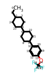 CCC1CCC(C2CCC(c3ccc(OC(F)(F)F)cc3)CC2)CC1